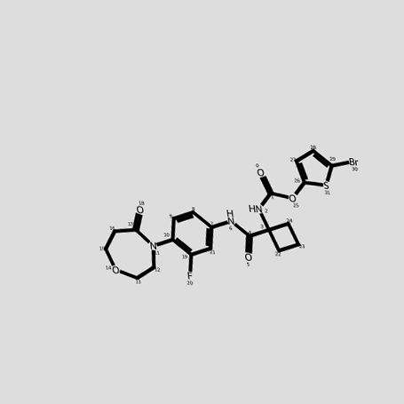 O=C(NC1(C(=O)Nc2ccc(N3CCOCCC3=O)c(F)c2)CCC1)Oc1ccc(Br)s1